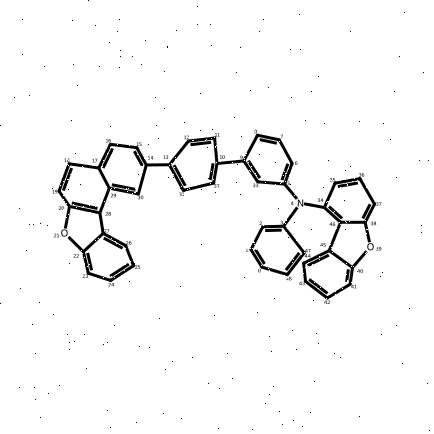 c1ccc(N(c2cccc(-c3ccc(-c4ccc5ccc6oc7ccccc7c6c5c4)cc3)c2)c2cccc3oc4ccccc4c23)cc1